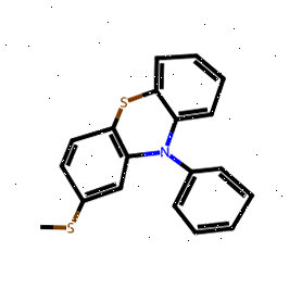 CSc1ccc2c(c1)N(c1ccccc1)c1ccccc1S2